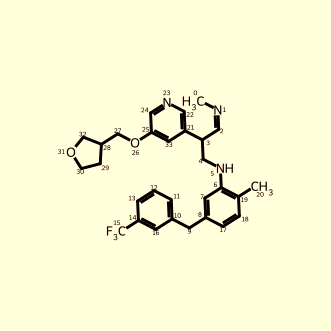 C/N=C\C(CNc1cc(Cc2cccc(C(F)(F)F)c2)ccc1C)c1cncc(OCC2CCOC2)c1